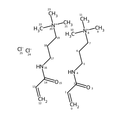 C=CC(=O)NCCC[N+](C)(C)C.C=CC(=O)NCCC[N+](C)(C)C.[Cl-].[Cl-]